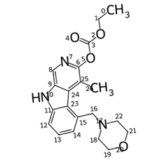 CCOC(=O)Oc1ncc2[nH]c3cccc(CN4CCOCC4)c3c2c1C